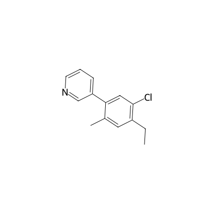 CCc1cc(C)c(-c2cccnc2)cc1Cl